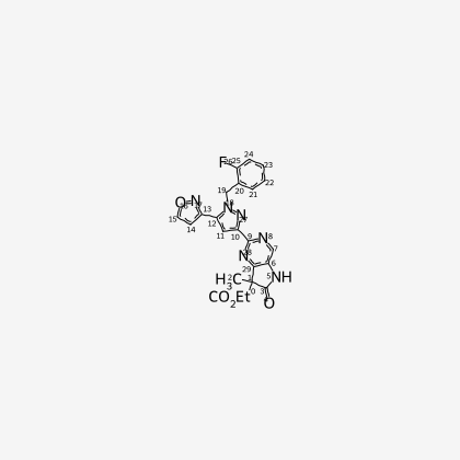 CCOC(=O)C1(C)C(=O)Nc2cnc(-c3cc(-c4ccon4)n(Cc4ccccc4F)n3)nc21